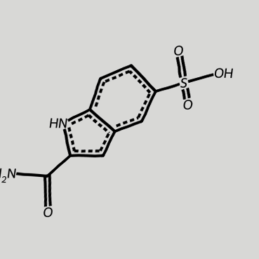 NC(=O)c1cc2cc(S(=O)(=O)O)ccc2[nH]1